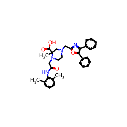 Cc1cccc(C)c1NC(=O)CN1CCN(Cc2nc(-c3ccccc3)c(-c3ccccc3)o2)CC1(C)C(=O)O